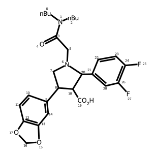 CCCCN(CCCC)C(=O)CN1CC(c2ccc3c(c2)OCO3)C(C(=O)O)C1c1ccc(F)c(F)c1